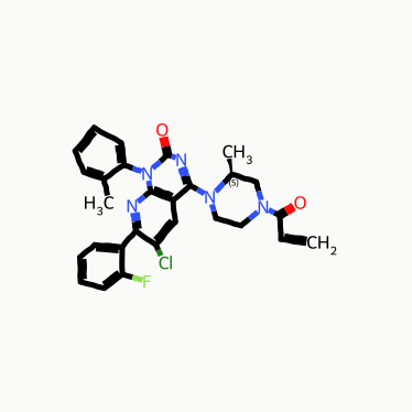 C=CC(=O)N1CCN(c2nc(=O)n(-c3ccccc3C)c3nc(-c4ccccc4F)c(Cl)cc23)[C@@H](C)C1